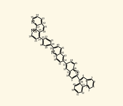 c1ccc2c(c1)cc(-c1ccc3cc(-c4ccc5nc(-c6ccc(-c7ccnc8c7ccc7cccnc78)cc6)ccc5c4)ccc3n1)c1ccccc12